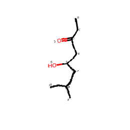 CCC(=O)CC(O)CC(C)C